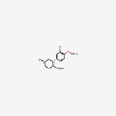 CCCCCCCC1CC[C@@H](CC)C[C@@H]1c1ccc(OCCCCCC)c(F)c1